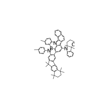 Cc1ccc(N2B3c4cc(C)ccc4-n4c5c3c(cc(N3c6ccccc6C6(C)CCCCC36C)c5c3ccc5ccccc5c34)-c3cc4c(cc32)C(C)(C)c2cc3c(cc2-4)C(C)(C)CCC3(C)C)cc1